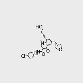 Cn1cc(C(=O)NCc2ccc(Cl)cc2)c(=O)c2cc(CN3CCOCC3)cc(C#CCCO)c21